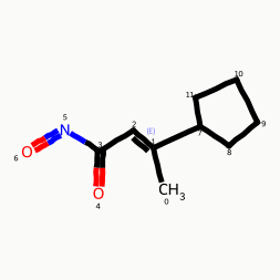 C/C(=C\C(=O)N=O)C1CCCC1